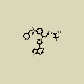 N#CCC(c1cccc(S(=O)(=O)CC2CCOCC2)c1)n1cc(-c2ncnc3[nH]ccc23)cn1.O=C(O)C(F)(F)F